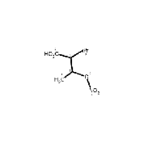 CC(C)C(C(=O)O)C(C)O[N+](=O)[O-]